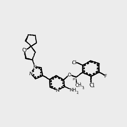 C[C@@H](Oc1cc(-c2cnn(C3COC4(CCCC4)C3)c2)cnc1N)c1c(Cl)ccc(F)c1Cl